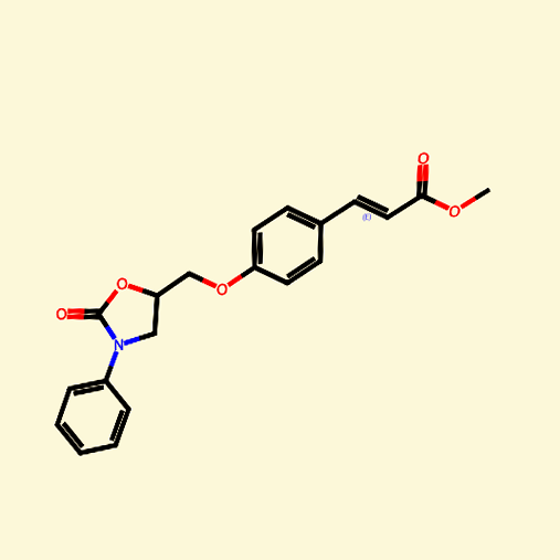 COC(=O)/C=C/c1ccc(OCC2CN(c3ccccc3)C(=O)O2)cc1